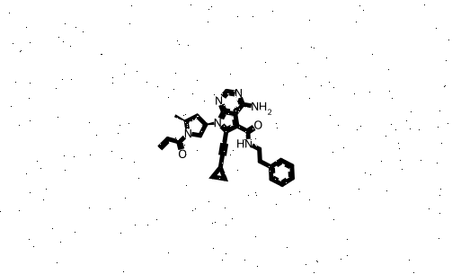 C=CC(=O)N1C[C@H](n2c(C#CC3CC3)c(C(=O)NCCc3ccccc3)c3c(N)ncnc32)C[C@@H]1C